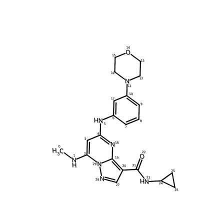 CNc1cc(Nc2cccc(N3CCOCC3)c2)nc2c(C(=O)NC3CC3)cnn12